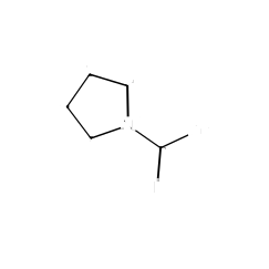 CCC([O])N1CCCC1